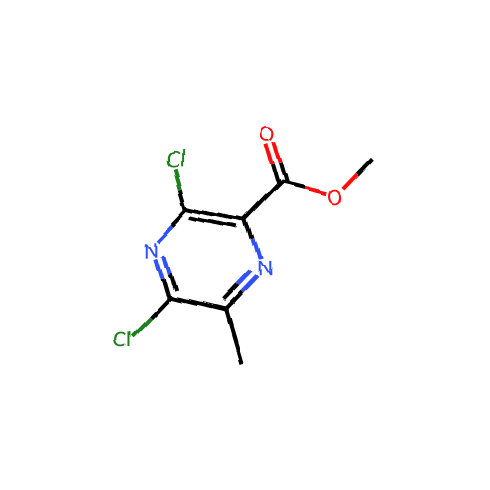 COC(=O)c1nc(C)c(Cl)nc1Cl